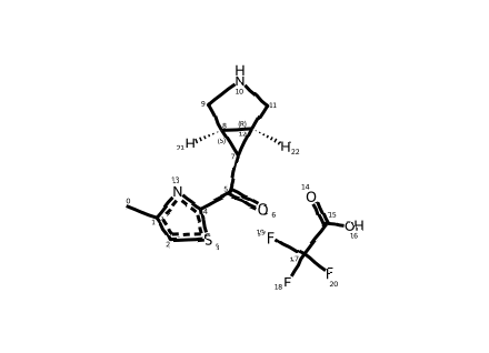 Cc1csc(C(=O)C2[C@H]3CNC[C@@H]23)n1.O=C(O)C(F)(F)F